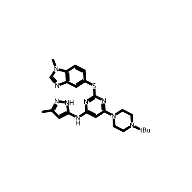 Cc1cc(Nc2cc(N3CCN(C(C)(C)C)CC3)nc(Sc3ccc4c(c3)ncn4C)n2)[nH]n1